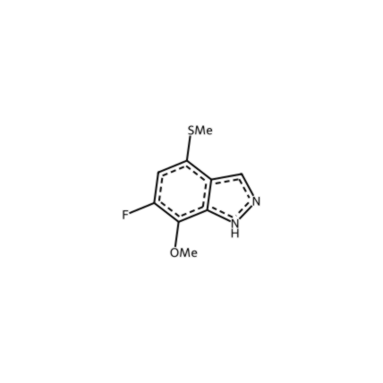 COc1c(F)cc(SC)c2cn[nH]c12